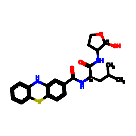 CC(C)C[C@H](NC(=O)c1ccc2c(c1)Nc1ccccc1S2)C(=O)NC1CCO[C@H]1O